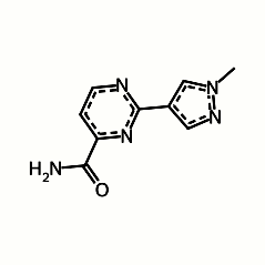 Cn1cc(-c2nccc(C(N)=O)n2)cn1